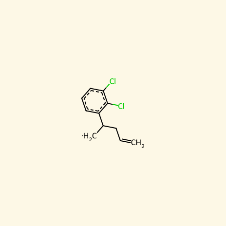 [CH2]C(CC=C)c1cccc(Cl)c1Cl